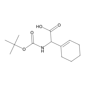 CC(C)(C)OC(=O)NC(C(=O)O)C1=CCCCC1